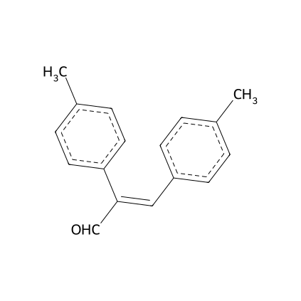 Cc1ccc(/C=C(/C=O)c2ccc(C)cc2)cc1